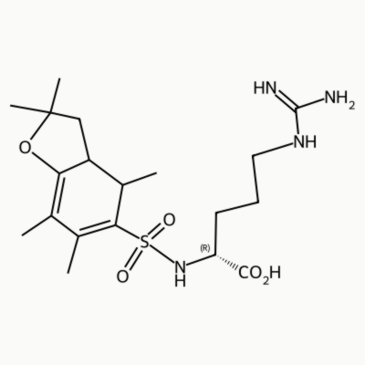 CC1=C2OC(C)(C)CC2C(C)C(S(=O)(=O)N[C@H](CCCNC(=N)N)C(=O)O)=C1C